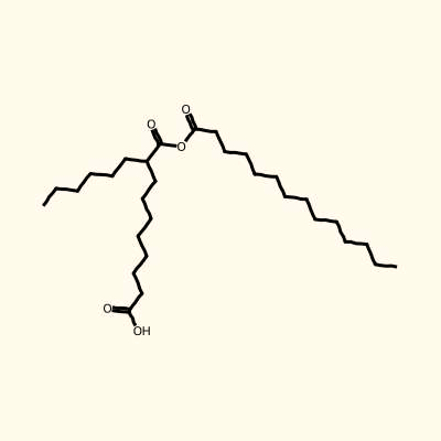 CCCCCCCCCCCCCC(=O)OC(=O)C(CCCCCC)CCCCCCCC(=O)O